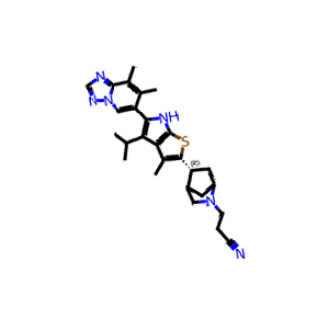 Cc1c(-c2[nH]c3sc([C@@H]4CC5CC4CN5CCC#N)c(C)c3c2C(C)C)cn2ncnc2c1C